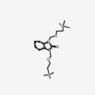 C[Si](C)(C)CCOCn1c(=O)n(COCC[Si](C)(C)C)c2ccccc21